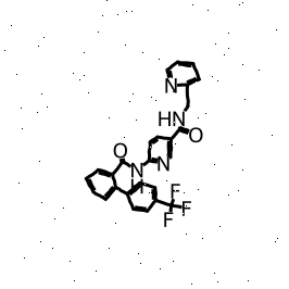 O=C(NCc1ccccn1)c1ccc(NC(=O)c2ccccc2-c2ccc(C(F)(F)F)cc2)nc1